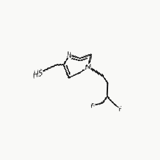 FC(F)Cn1cnc(S)c1